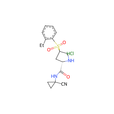 CCc1ccccc1S(=O)(=O)[C@H]1CN[C@H](C(=O)NC2(C#N)CC2)C1.Cl